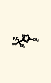 [CH2]c1cnc(C(O)(C(F)(F)F)C(F)(F)F)s1